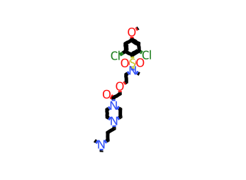 COc1cc(Cl)c(S(=O)(=O)N(C)CCOCC(=O)N2CCN(CCCN(C)C)CC2)c(Cl)c1